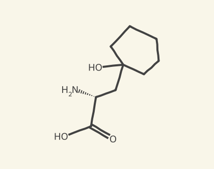 N[C@H](CC1(O)CCCCC1)C(=O)O